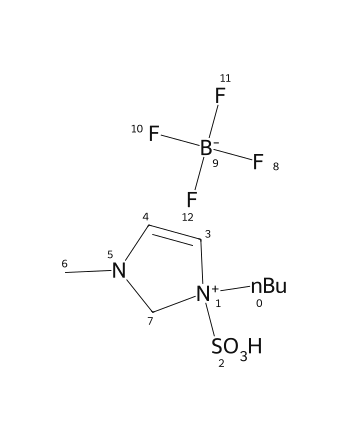 CCCC[N+]1(S(=O)(=O)O)C=CN(C)C1.F[B-](F)(F)F